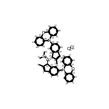 CC1=Cc2ccc(N3c4ccccc4Oc4ccccc43)cc2[C@@H]1[Zr+2]([C@H]1C(C)=Cc2ccc(N3c4ccccc4Oc4ccccc43)cc21)=[Si](C)C.[Cl-].[Cl-]